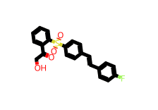 O=C(CO)c1ccccc1S(=O)(=O)c1ccc(C=Cc2ccc(F)cc2)cc1